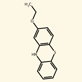 CCOc1ccc2c(c1)Nc1ccccc1S2